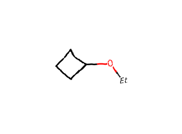 CCOC1CCC1